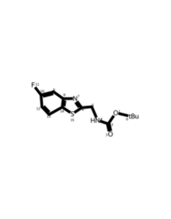 CC(C)(C)OC(=O)NCc1nc2cc(F)ccc2s1